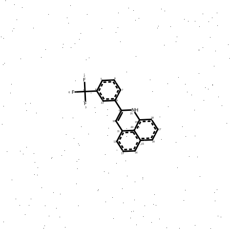 FC(F)(F)c1cccc(C2=Cc3cccc4cccc(c34)N2)c1